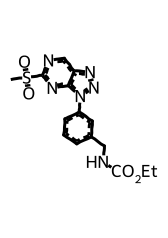 CCOC(=O)NCc1cccc(-n2nnc3cnc(S(C)(=O)=O)nc32)c1